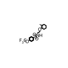 C[C@H]1CCCC[C@H]1OCCNS(=O)(=O)c1ccc(OC(F)(F)F)cc1